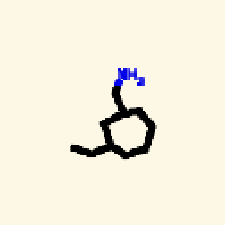 CCC1CCCCC(CN)C1